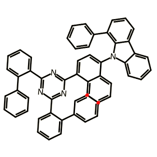 c1ccc(-c2ccccc2-c2nc(-c3ccccc3-c3ccccc3)nc(-c3ccc(-n4c5ccccc5c5cccc(-c6ccccc6)c54)c4ccccc34)n2)cc1